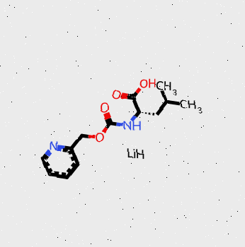 CC(C)C[C@H](NC(=O)OCc1ccccn1)C(=O)O.[LiH]